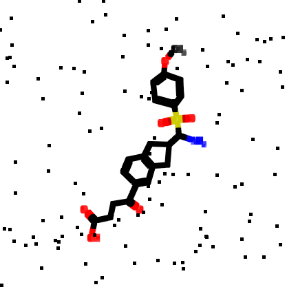 COc1ccc(S(=O)(=O)C(N)C2Cc3ccc(C(=O)CCC(=O)O)cc3C2)cc1